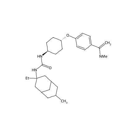 C=C(NC)c1ccc(O[C@H]2CC[C@H](NC(=O)NC3(CC)CC4CC(C)CC(C4)C3)CC2)cc1